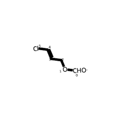 O=[C]OCC=CCl